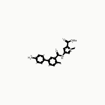 COC(=O)c1cc(NC(=O)c2cc(-c3ccc(N)cc3)ccc2C)cn1C